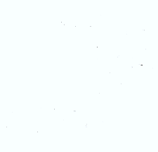 Cl.N#Cc1ccc2c(c1)[C@@H]1CN(Cc3ccc(OCc4ccccc4)cc3)C[C@H]1CO2